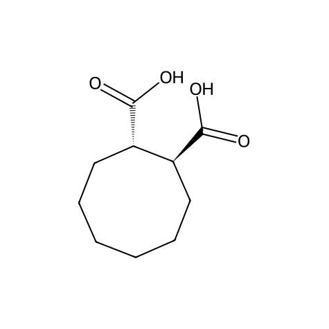 O=C(O)[C@H]1CCCCCC[C@@H]1C(=O)O